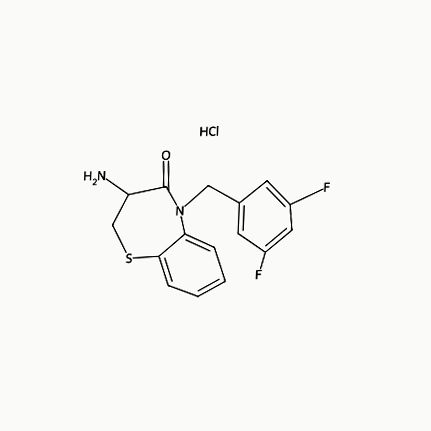 Cl.NC1CSc2ccccc2N(Cc2cc(F)cc(F)c2)C1=O